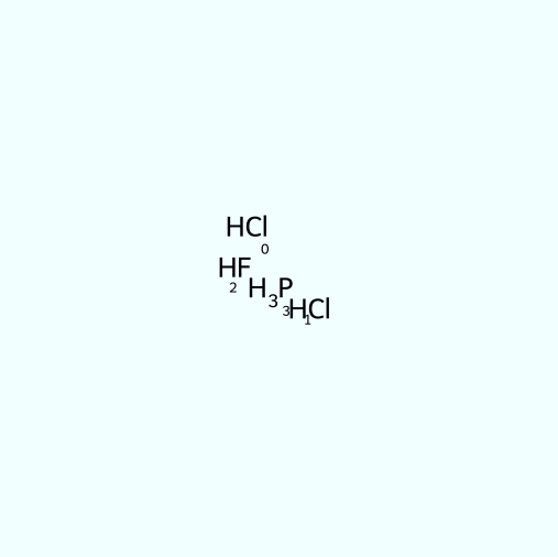 Cl.Cl.F.P